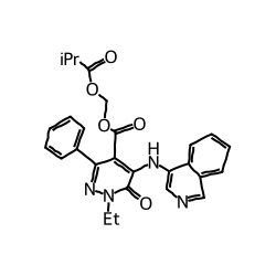 CCn1nc(-c2ccccc2)c(C(=O)OCOC(=O)C(C)C)c(Nc2cncc3ccccc23)c1=O